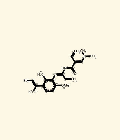 C=C/C(=C\N(C)C)C(=O)N/C(C=C)=N/c1c(OC)ccc(/C(=C/CC)CCC)c1C